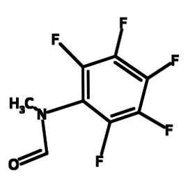 CN(C=O)c1c(F)c(F)c(F)c(F)c1F